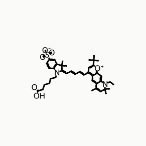 CCN1c2cc3[o+]c(C(C)(C)C)cc(/C=C/C=C/C=C4/N(CCCCCC(=O)O)c5ccc(S(=O)(=O)[O-])cc5C4(C)C)c3cc2C(C)=CC1(C)C